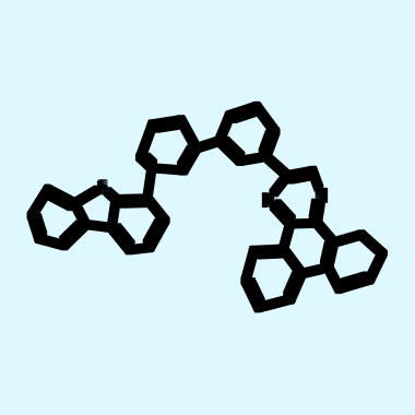 C1=Cc2c(c3ncc(-c4cccc(-c5cccc(-c6cccc7c6sc6ccccc67)c5)c4)nc3c3ccccc23)CC1